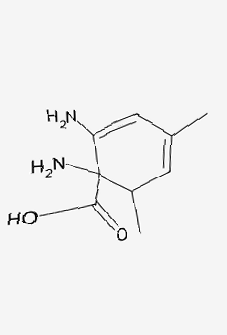 CC1=CC(C)C(N)(C(=O)O)C(N)=C1